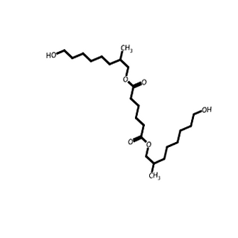 CC(CCCCCCO)COC(=O)CCCCC(=O)OCC(C)CCCCCCO